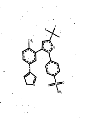 Cc1ccc(C2=CCN=C2)cc1-c1cc(C(F)(F)F)nn1-c1ccc(S(N)(=O)=O)cc1